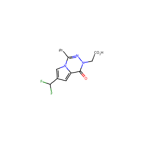 CC(C)c1nn(CC(=O)O)c(=O)c2cc(C(F)F)cn12